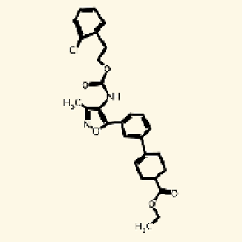 CCOC(=O)C1CC=C(c2cccc(-c3onc(C)c3NC(=O)OCCc3ccccc3Cl)c2)CC1